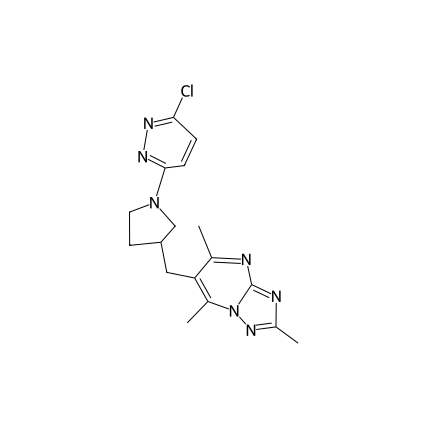 Cc1nc2nc(C)c(CC3CCN(c4ccc(Cl)nn4)C3)c(C)n2n1